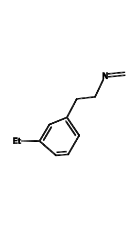 C=NCCc1cccc(CC)c1